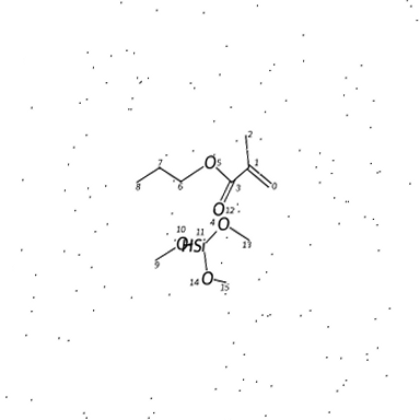 C=C(C)C(=O)OCCC.CO[SiH](OC)OC